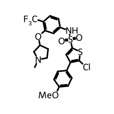 COc1ccc(-c2cc(S(=O)(=O)Nc3ccc(C(F)(F)F)c(OC4CCN(C)C4)c3)sc2Cl)cc1